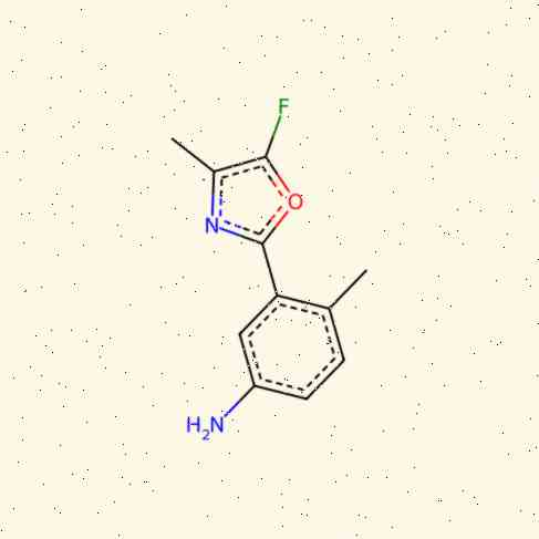 Cc1ccc(N)cc1-c1nc(C)c(F)o1